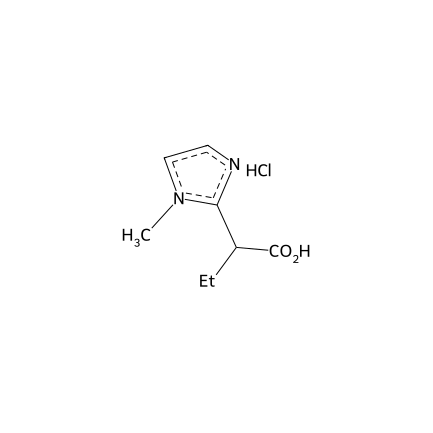 CCC(C(=O)O)c1nccn1C.Cl